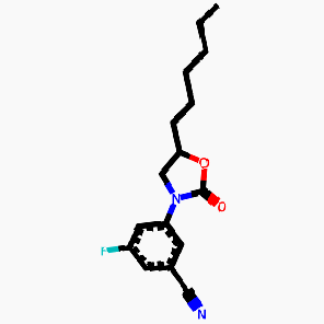 CCCCCCC1CN(c2cc(F)cc(C#N)c2)C(=O)O1